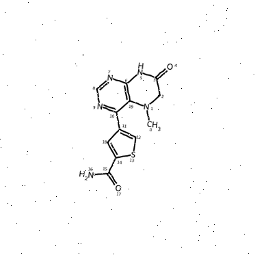 CN1CC(=O)Nc2ncnc(-c3csc(C(N)=O)c3)c21